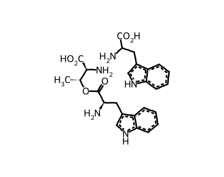 C[C@@H](OC(=O)[C@H](N)Cc1c[nH]c2ccccc12)[C@H](N)C(=O)O.NC(Cc1c[nH]c2ccccc12)C(=O)O